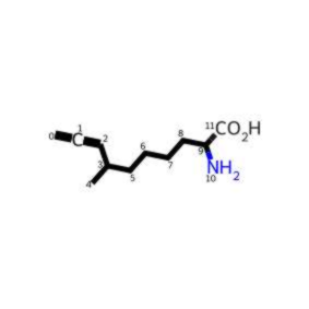 C=C=CC(C)CCCCC(N)C(=O)O